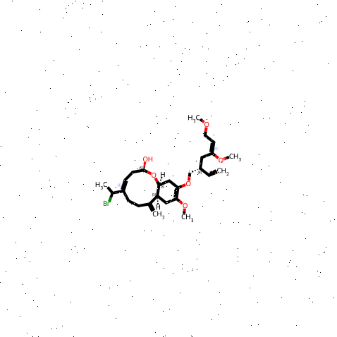 C=C[C@H](COC1=C(OC)C[C@H]2C(=C)CC/C(C(C)Br)=C\C[C@@H](O)O[C@H]2C1)C/C(=C\COC)OC